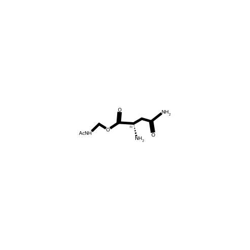 CC(=O)NCOC(=O)[C@@H](N)CC(N)=O